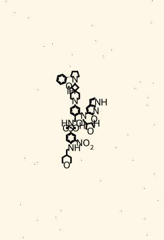 CC(C)Oc1ccccc1[C@@H]1CCCN1C1CC2(CCN(c3ccc(C(=O)NS(=O)(=O)c4ccc(NCC5CCOCC5)c([N+](=O)[O-])c4)c(N4C[C@H]5COC[C@H]5Oc5nc6[nH]ccc6cc54)c3)CC2)C1